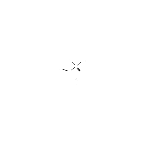 O=P(O)(O)[O][Zn].[Mn].[Ni]